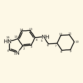 c1nc2cc(NCC3CCCCC3)ccc2[nH]1